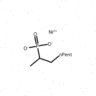 CCCCCCC(C)P(=O)([O-])[O-].[Ni+2]